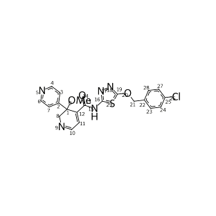 COC1(c2ccncc2)CN=CC=C1C(=O)Nc1nnc(OCc2ccc(Cl)cc2)s1